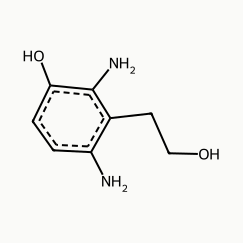 Nc1ccc(O)c(N)c1CCO